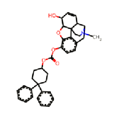 CN1CCC23c4c5ccc(OC(=O)OC6CCC(c7ccccc7)(c7ccccc7)CC6)c4OC2C(O)C=CC3C1C5